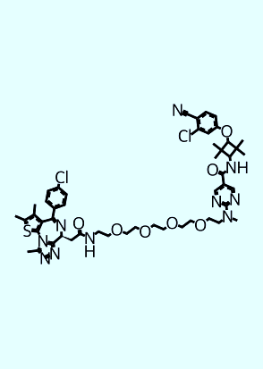 Cc1sc2c(c1C)C(c1ccc(Cl)cc1)=N[C@@H](CC(=O)NCCOCCOCCOCCOCCN(C)c1ncc(C(=O)NC3C(C)(C)C(Oc4ccc(C#N)c(Cl)c4)C3(C)C)cn1)c1nnc(C)n1-2